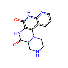 O=C1Nc2c(c3cccnc3[nH]c2=O)N2CCNCC12